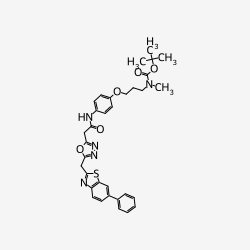 CN(CCCOc1ccc(NC(=O)Cc2nnc(Cc3nc4ccc(-c5ccccc5)cc4s3)o2)cc1)C(=O)OC(C)(C)C